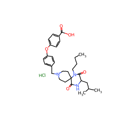 CCCCN1C(=O)C(CC(C)C)NC(=O)C12CCN(Cc1ccc(Oc3ccc(C(=O)O)cc3)cc1)CC2.Cl